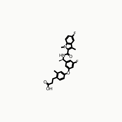 Cc1cc(Oc2cc(F)cc([C@@H](C)NC(=O)c3c(C)c4cc(F)ccc4n3C)c2)ccc1CCC(=O)O